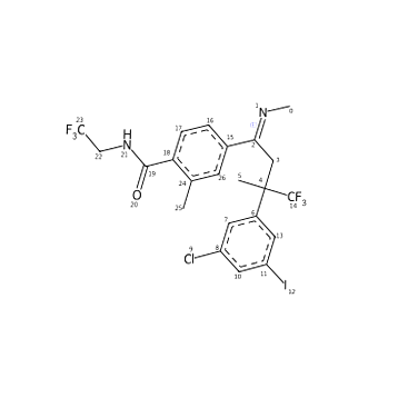 C/N=C(\CC(C)(c1cc(Cl)cc(I)c1)C(F)(F)F)c1ccc(C(=O)NCC(F)(F)F)c(C)c1